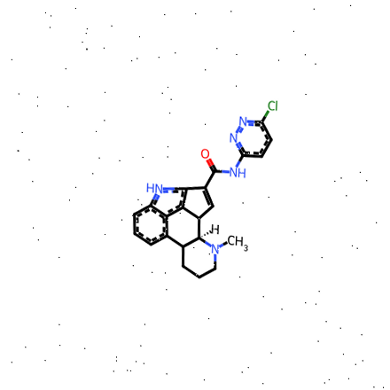 CN1CCCC2c3cccc4[nH]c5c(c34)C(C=C5C(=O)Nc3ccc(Cl)nn3)[C@H]21